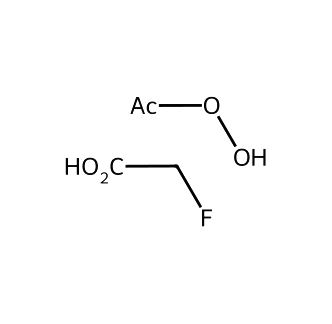 CC(=O)OO.O=C(O)CF